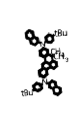 CC(C)(C)c1ccc(N(c2ccc3c(c2)C(C)(C)c2cccc4c2c-3cc2ccc(N(c3ccc(C(C)(C)C)cc3)c3ccc5ccccc5c3)cc24)c2ccc3ccccc3c2)cc1